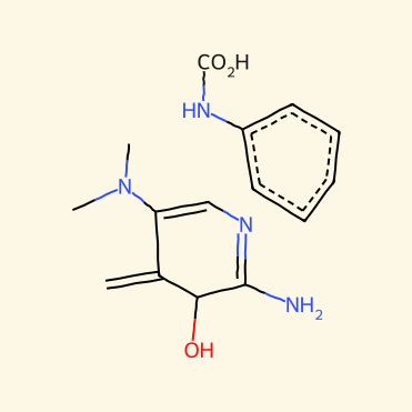 C=C1C(N(C)C)=CN=C(N)C1O.O=C(O)Nc1ccccc1